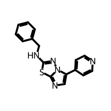 c1ccc(CNc2nn3c(-c4ccncc4)cnc3s2)cc1